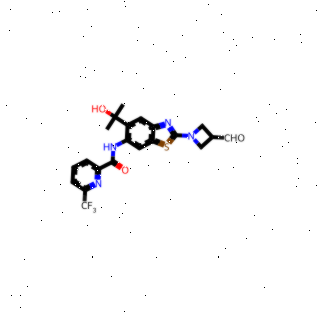 CC(C)(O)c1cc2nc(N3CC(C=O)C3)sc2cc1NC(=O)c1cccc(C(F)(F)F)n1